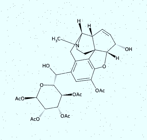 CC(=O)Oc1cc(C(O)[C@H]2O[C@H](OC(C)=O)[C@@H](OC(C)=O)[C@@H](OC(C)=O)[C@@H]2OC(C)=O)c2c3c1O[C@H]1[C@@H](O)C=C[C@H]4[C@@H](C2)N(C)CC[C@@]341